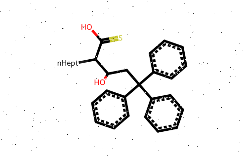 CCCCCCCC(C(O)=S)C(O)CC(c1ccccc1)(c1ccccc1)c1ccccc1